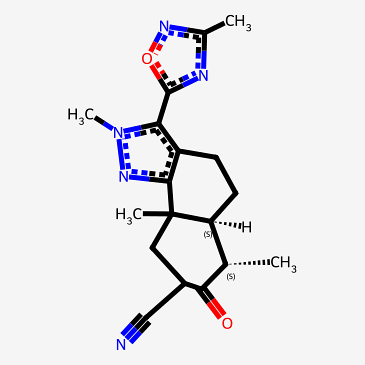 Cc1noc(-c2c3c(nn2C)C2(C)CC(C#N)C(=O)[C@@H](C)[C@@H]2CC3)n1